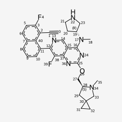 C#Cc1c(F)ccc2cccc(-c3ncc4c(N(C)[C@@H]5CCNC5)nc(OC[C@@H]5CC6(CC6)CN5C)nc4c3F)c12